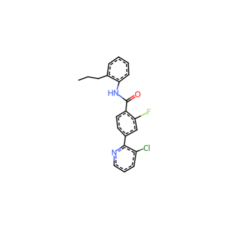 CCCc1ccccc1NC(=O)c1ccc(-c2ncccc2Cl)cc1F